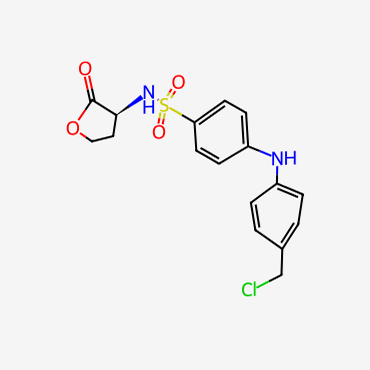 O=C1OCC[C@@H]1NS(=O)(=O)c1ccc(Nc2ccc(CCl)cc2)cc1